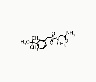 CN(CC(N)=O)S(=O)(=O)Cc1cccc(C(C)(C)C)c1